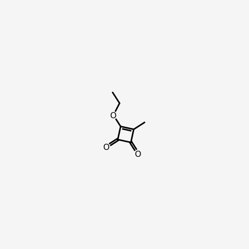 CCOc1c(C)c(=O)c1=O